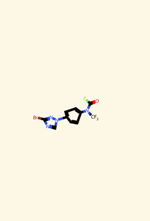 O=C(F)N(c1ccc(-n2cnc(Br)n2)cc1)C(F)(F)F